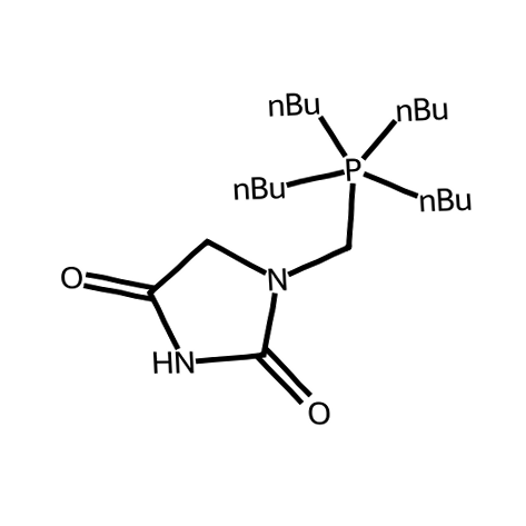 CCCCP(CCCC)(CCCC)(CCCC)CN1CC(=O)NC1=O